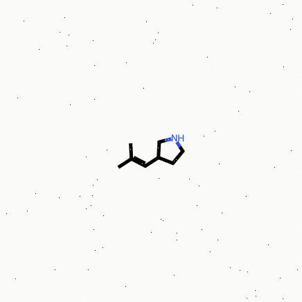 CC(C)=CC1CCNC1